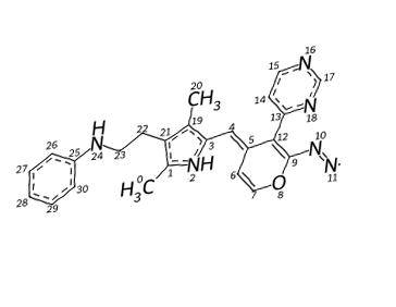 Cc1[nH]c(C=C2C=COC(N=[N])=C2c2ccncn2)c(C)c1CCNc1ccccc1